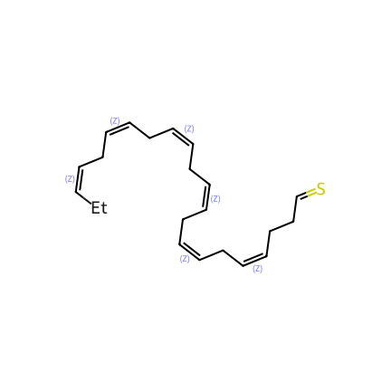 CC/C=C\C/C=C\C/C=C\C/C=C\C/C=C\C/C=C\CCC=S